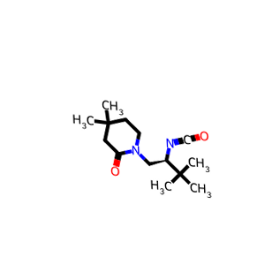 CC1(C)CCN(C[C@@H](N=C=O)C(C)(C)C)C(=O)C1